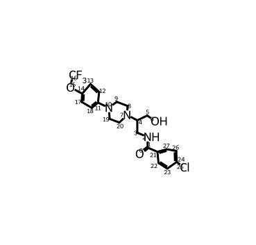 O=C(NCC(CO)N1CCN(c2ccc(OC(F)(F)F)cc2)CC1)c1ccc(Cl)cc1